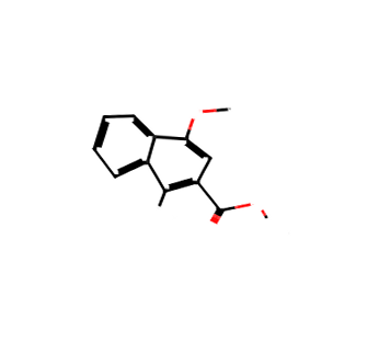 COC(=O)c1cc(OC)c2ccccc2c1C